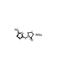 CN[C@H]1CCN(Cc2ccc(C#N)s2)C1=O